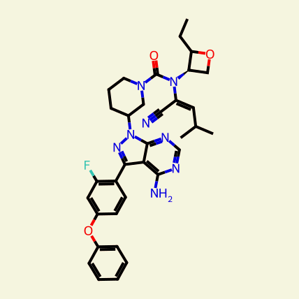 CCC1OC[C@H]1N(C(=O)N1CCCC(n2nc(-c3ccc(Oc4ccccc4)cc3F)c3c(N)ncnc32)C1)C(C#N)=CC(C)C